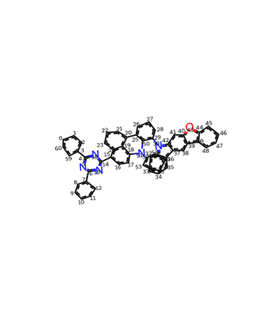 c1ccc(-c2nc(-c3ccccc3)nc(-c3ccc4c5c(cccc35)-c3cccc(-n5c6ccccc6c6cc7c(cc65)oc5ccccc57)c3N4c3ccccc3)n2)cc1